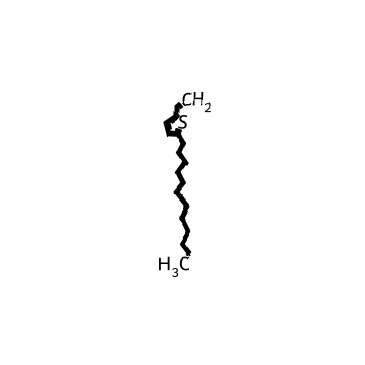 C=Cc1ccc(CCCCCCCCCCCC)s1